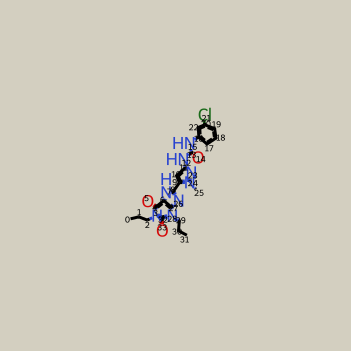 CCCn1c(=O)c2[nH]c(-c3cc(NC(=O)Nc4cccc(Cl)c4)nn3C)nc2n(CCC)c1=O